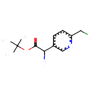 CC(C)(C)OC(=O)C(N)c1ccc(CCl)nc1